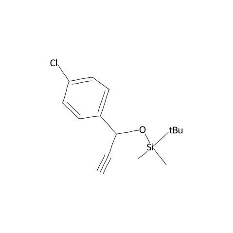 C#CC(O[Si](C)(C)C(C)(C)C)c1ccc(Cl)cc1